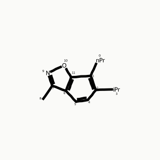 CCCc1c(C(C)C)ccc2c(C)noc12